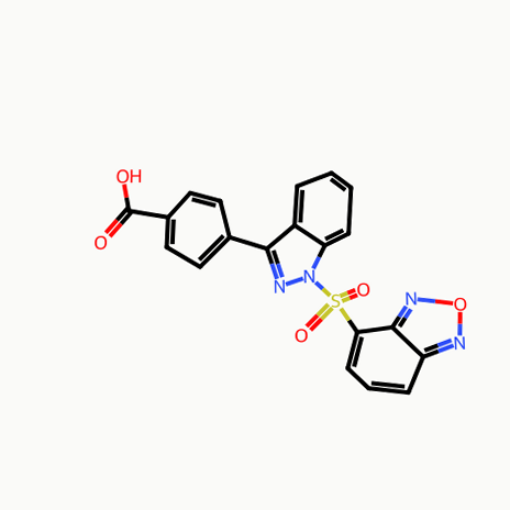 O=C(O)c1ccc(-c2nn(S(=O)(=O)c3cccc4nonc34)c3ccccc23)cc1